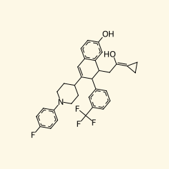 OC(CC1c2cc(O)ccc2C=C(C2CCN(c3ccc(F)cc3)CC2)C1c1cccc(C(F)(F)F)c1)=C1CC1